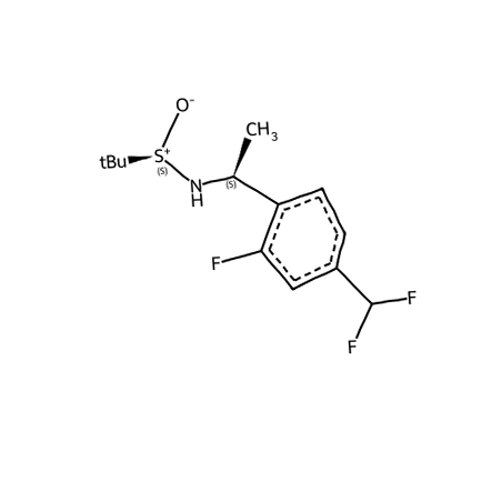 C[C@H](N[S@+]([O-])C(C)(C)C)c1ccc(C(F)F)cc1F